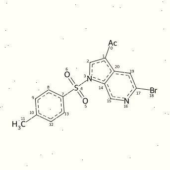 CC(=O)c1cn(S(=O)(=O)c2ccc(C)cc2)c2cnc(Br)cc12